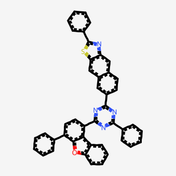 c1ccc(-c2nc(-c3ccc4cc5nc(-c6ccccc6)sc5cc4c3)nc(-c3ccc(-c4ccccc4)c4oc5ccccc5c34)n2)cc1